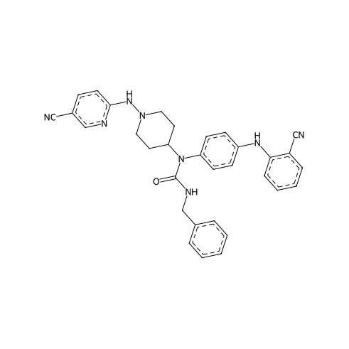 N#Cc1ccc(NN2CCC(N(C(=O)NCc3ccccc3)c3ccc(Nc4ccccc4C#N)cc3)CC2)nc1